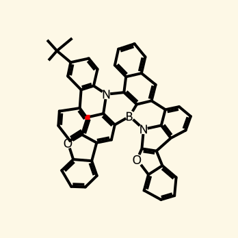 CC(C)(C)c1ccc(N2c3cc4oc5ccccc5c4cc3B3c4c(cc5ccccc5c42)-c2cccc4c5c6ccccc6oc5n3c24)c(-c2ccccc2)c1